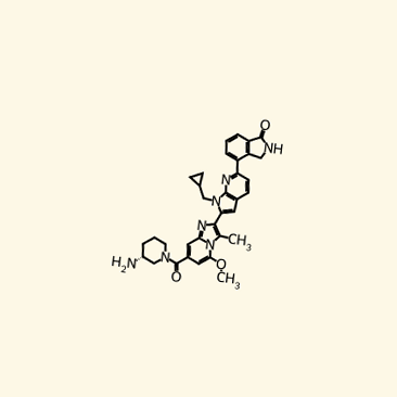 COc1cc(C(=O)N2CCC[C@@H](N)C2)cc2nc(-c3cc4ccc(-c5cccc6c5CNC6=O)nc4n3CC3CC3)c(C)n12